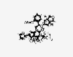 COc1ccccc1C(Cn1c(=O)n(C(C)(C)C(=O)O)c(=O)c2c(C)c(-c3ncco3)sc21)OC1C[C@H]2COC[C@@H]2C1